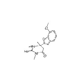 COc1cccc2cc(C3(C)CC(=O)N(C)C(=N)N3)oc12